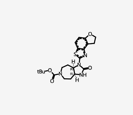 CC(C)(C)OC(=O)N1CC[C@@H]2NC(=O)N(c3nc4c5c(ccc4s3)OCC5)[C@@H]2CC1